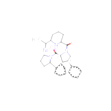 CC(N)C1CCCC(C(=O)N2C[C@@H](c3ccccc3)C[C@H]2C(=O)N2CCCC2c2ccccc2)N1